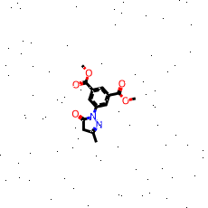 COC(=O)c1cc(C(=O)OC)cc(N2N=C(C)CC2=O)c1